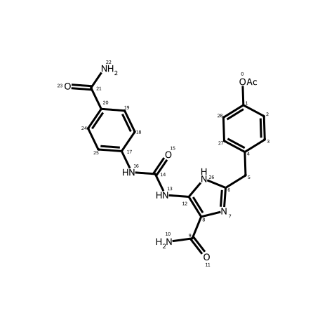 CC(=O)Oc1ccc(Cc2nc(C(N)=O)c(NC(=O)Nc3ccc(C(N)=O)cc3)[nH]2)cc1